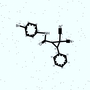 N#CC1(C#N)C(C(=O)Nc2ccc(Br)cc2)C1c1ccccc1